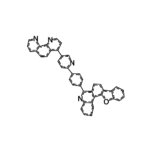 c1cnc2c(c1)ccc1c(-c3ccc(-c4ccc(-c5nc6ccccc6c6c5ccc5c7ccccc7oc56)cc4)nc3)ccnc12